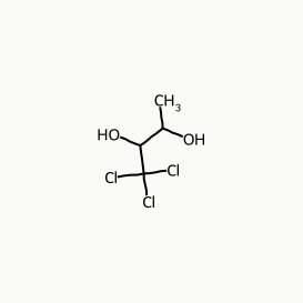 CC(O)C(O)C(Cl)(Cl)Cl